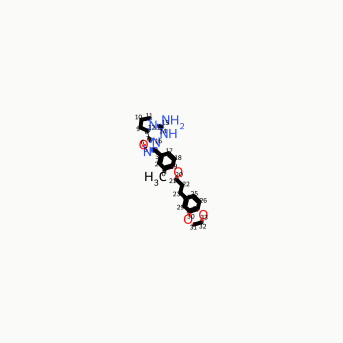 Cc1cc(-c2noc([C@@H]3CCCN3C(=N)N)n2)ccc1OCCCc1ccc2c(c1)OCCO2